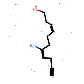 C#CC/C=C(/N)CC/C=C\CCO